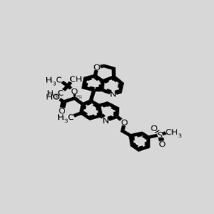 Cc1cc2nc(OCc3cccc(S(C)(=O)=O)c3)ccc2c(-c2ccc3c4c(ccnc24)CCO3)c1[C@H](OC(C)(C)C)C(=O)O